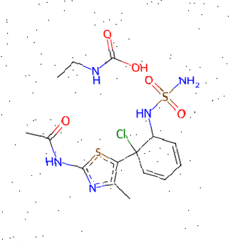 CC(=O)Nc1nc(C)c(C2(Cl)C=CC=CC2NS(N)(=O)=O)s1.CCNC(=O)O